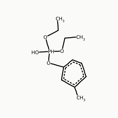 CCO[PH](O)(OCC)Oc1cccc(C)c1